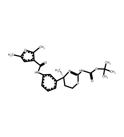 Cc1cc(C(=O)Nc2cccc([C@]3(C)CCSC(NC(=O)OC(C)(C)C)=N3)c2)c(C)o1